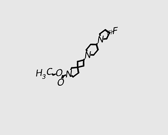 CCOC(=O)N1CCC2(CC(N3CCC(N4CC[C@H](F)C4)CC3)C2)C1